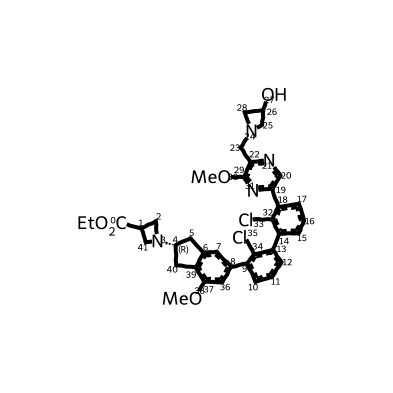 CCOC(=O)C1CN([C@@H]2Cc3cc(-c4cccc(-c5cccc(-c6cnc(CN7CC(O)C7)c(OC)n6)c5Cl)c4Cl)cc(OC)c3C2)C1